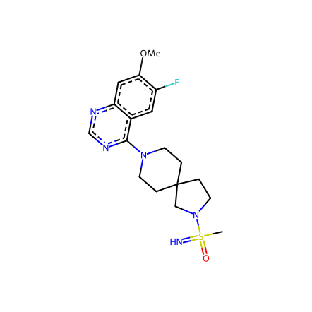 COc1cc2ncnc(N3CCC4(CC3)CCN(S(C)(=N)=O)C4)c2cc1F